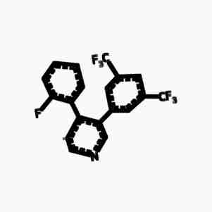 Fc1ccccc1-c1[c]cncc1-c1cc(C(F)(F)F)cc(C(F)(F)F)c1